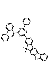 CC1(C)c2cc(-c3nc(-c4ccccc4)nc(-c4cc5ccccc5c5ccccc45)n3)ccc2-c2cc3c(cc21)oc1ccccc13